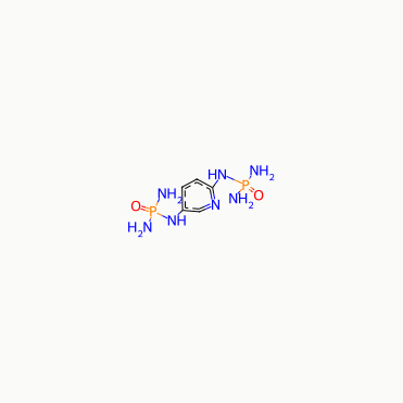 NP(N)(=O)Nc1ccc(NP(N)(N)=O)nc1